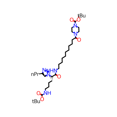 CCCc1cn([C@@H](CCCCNC(=O)OC(C)(C)C)C(=O)NCCCCCCCCCCC(=O)N2CCN(C(=O)OC(C)(C)C)CC2)nn1